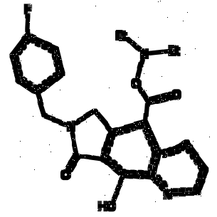 CCN(CC)OC(=O)c1c2c(c(O)c3ncccc13)C(=O)N(Cc1ccc(F)cc1)C2